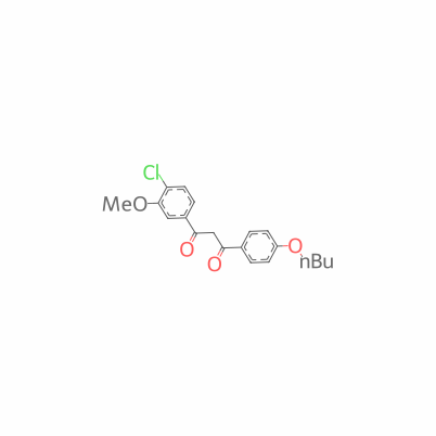 CCCCOc1ccc(C(=O)CC(=O)c2ccc(Cl)c(OC)c2)cc1